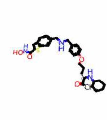 CC(=O)[C@H](CCCOc1ccc(CNCc2ccc3cc(C(=O)NO)sc3c2)cc1)NC1CCCCC1